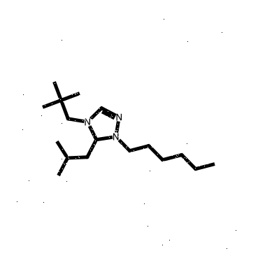 CCCCCCN1N=CN(CC(C)(C)C)C1CC(C)C